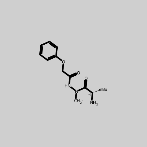 [CH2]N(NC(=O)COc1ccccc1)C(=O)[C@@H](N)CCCC